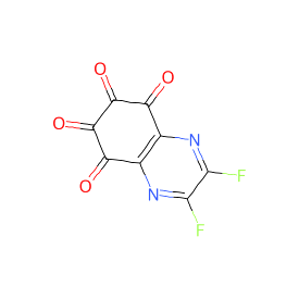 O=c1c(=O)c(=O)c2nc(F)c(F)nc2c1=O